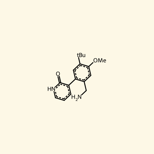 COc1cc(CN)c(-c2ccc[nH]c2=O)cc1C(C)(C)C